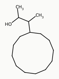 CC(O)C(C)C1CCCCCCCCCCC1